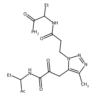 CCC(NC(=O)C(=O)Cc1c(C)nnn1CCC(=O)NC(CC)C(=O)P)C(C)=O